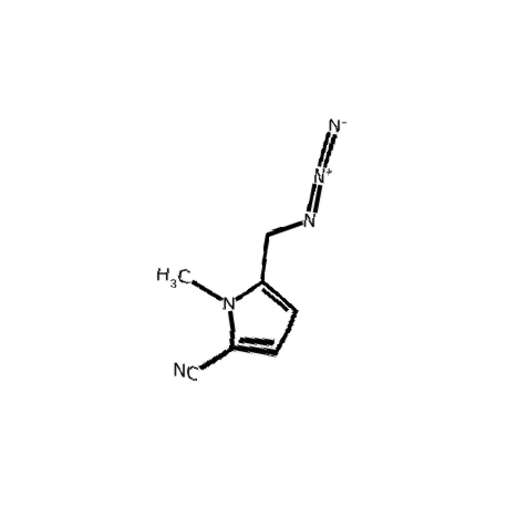 Cn1c(C#N)ccc1CN=[N+]=[N-]